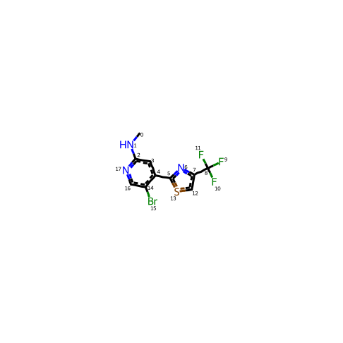 CNc1cc(-c2nc(C(F)(F)F)cs2)c(Br)cn1